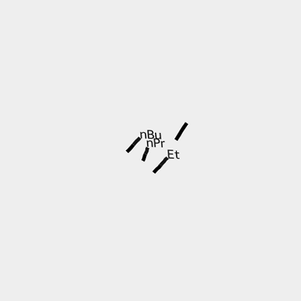 CC.CCC.CCCC.CCCCC